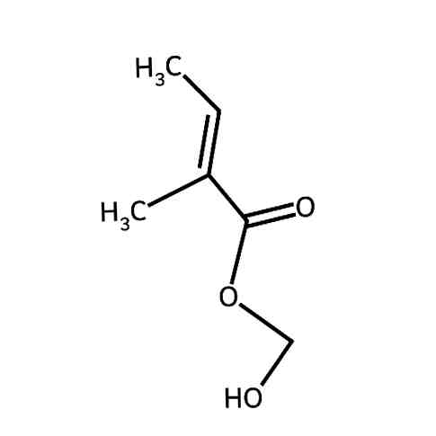 C/C=C(\C)C(=O)OCO